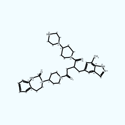 Cc1cc(CC(CC(=O)N2CCC(N3CCc4ccccc4NC3=O)CC2)C(=O)N2CCC(N3CCNCC3)CC2)cc2cn[nH]c12